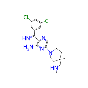 CNCC1(C)CCN(c2cnc(C(=N)c3cc(Cl)cc(Cl)c3)c(N)n2)CC1